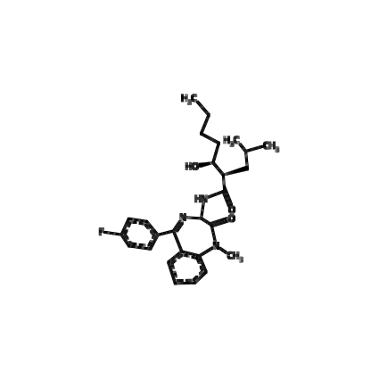 CCCC[C@H](O)[C@@H](CC(C)C)C(=O)NC1N=C(c2ccc(F)cc2)c2ccccc2N(C)C1=O